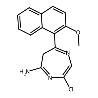 COc1ccc2ccccc2c1C1=NC=C(Cl)N=C(N)C1